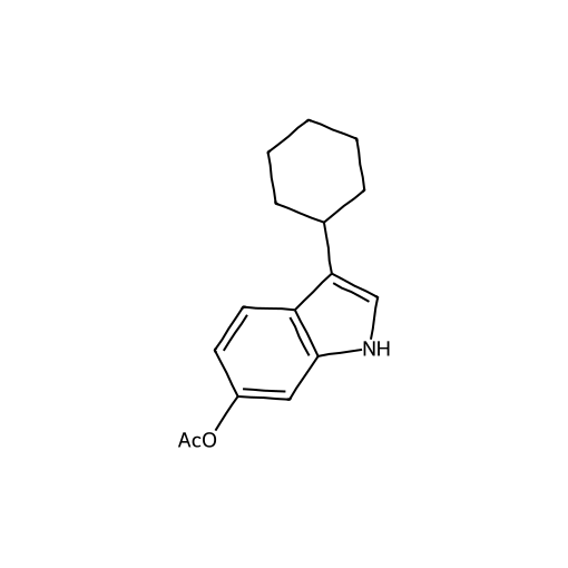 CC(=O)Oc1ccc2c(C3CCCCC3)c[nH]c2c1